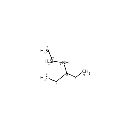 CCC(CC)N[SiH2][SiH3]